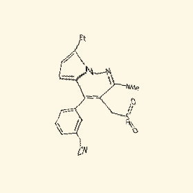 CCc1ccc2c(-c3cccc(C#N)c3)c(C[SH](=O)=O)c(NC)nn12